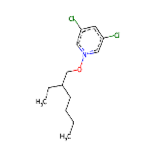 CCCCC(CC)CO[n+]1cc(Cl)cc(Cl)c1